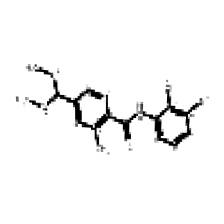 COC(OC)c1cnc(C(=O)Nc2cccc(Br)c2Cl)c(C)c1